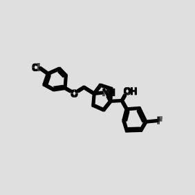 OC(c1cccc(F)c1)C12CCC(COc3ccc(Cl)cc3)(CC1)N2